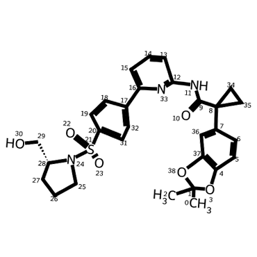 CC1(C)Oc2ccc(C3(C(=O)Nc4cccc(-c5ccc(S(=O)(=O)N6CCC[C@@H]6CO)cc5)n4)CC3)cc2O1